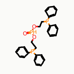 O=[PH](OCCP(c1ccccc1)c1ccccc1)OCCP(c1ccccc1)c1ccccc1